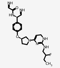 CCC(F)CNC1=NC(N2CC[C@@H](Oc3ccc([C@H](C=N)NC(=O)C=N)cc3)C2)=CCN1